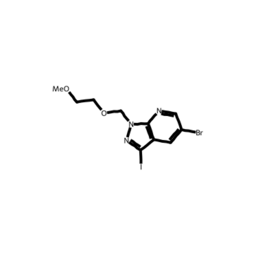 COCCOCn1nc(I)c2cc(Br)cnc21